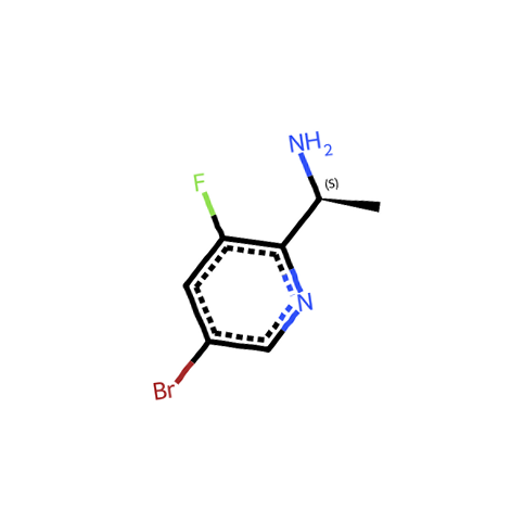 C[C@H](N)c1ncc(Br)cc1F